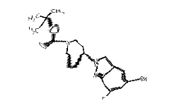 CC(C)(C)OC(=O)N1CCC(n2cc3cc(Br)cc(F)c3n2)CC1